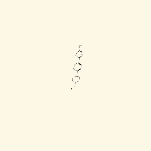 O=C(O)CC1CCC(C2=CC=C(c3ccc(C(=O)O)cn3)CC2)CC1